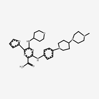 CN1CCN(C2CCN(c3ccc(Nc4nc(NC5CCOCC5)c(-c5ccco5)nc4C(N)=O)cc3)CC2)CC1